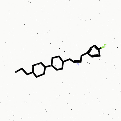 CCCC1CCC(C2CCC(C/C=C\Cc3ccc(F)cc3)CC2)CC1